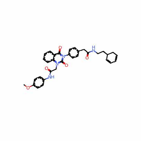 COc1ccc(NC(=O)Cn2c(=O)n(-c3ccc(CC(=O)NCCC4C=CC=CC4)cc3)c(=O)c3ccccc32)cc1